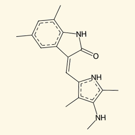 CNc1c(C)[nH]c(/C=C2\C(=O)Nc3c(C)cc(C)cc32)c1C